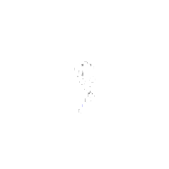 CC(C)(C)OC(=O)NC1(c2ccc(-c3nc4c5cc(/C=C/C(N)=O)ccc5nn4cc3-c3ccccc3)cc2)CCC1